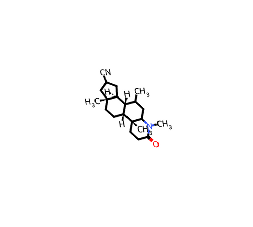 CC1CC2N(C)C(=O)CC[C@]2(C)[C@@H]2CC[C@]3(C)CC(C#N)C[C@H]3[C@H]12